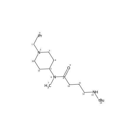 CC(C)CN1CCC(N(C)C(=O)CCCNC(C)(C)C)CC1